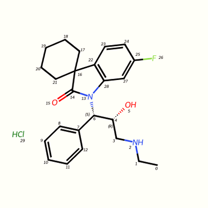 CCNC[C@@H](O)[C@H](c1ccccc1)N1C(=O)C2(CCCCC2)c2ccc(F)cc21.Cl